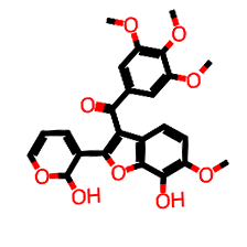 COc1cc(C(=O)c2c(C3=CC=COC3O)oc3c(O)c(OC)ccc23)cc(OC)c1OC